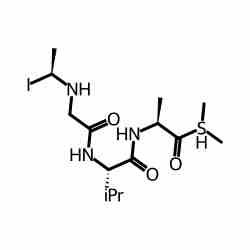 CC(C)[C@H](NC(=O)CN[C@H](C)I)C(=O)N[C@@H](C)C(=O)[SH](C)C